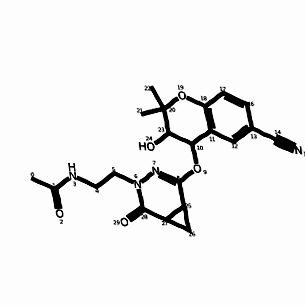 CC(=O)NCCN1N=C(OC2c3cc(C#N)ccc3OC(C)(C)C2O)C2CC2C1=O